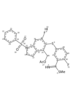 CSC(=N)c1cc(Sc2c(F)cc3c(ccn3S(=O)(=O)c3ccccc3)c2COC(C)=O)ccc1F.I